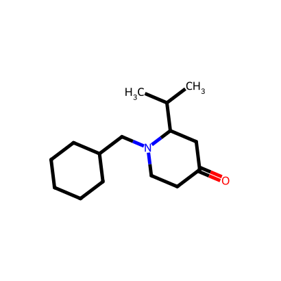 CC(C)C1CC(=O)CCN1CC1CCCCC1